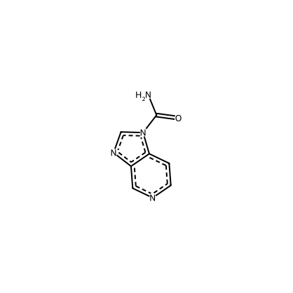 NC(=O)n1cnc2cnccc21